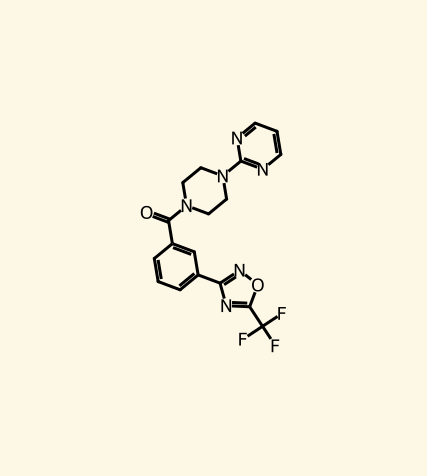 O=C(c1cccc(-c2noc(C(F)(F)F)n2)c1)N1CCN(c2ncccn2)CC1